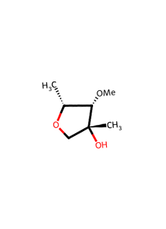 CO[C@H]1[C@@H](C)OC[C@@]1(C)O